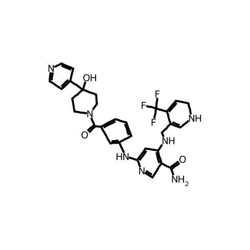 NC(=O)c1cnc(Nc2cccc(C(=O)N3CCC(O)(c4ccncc4)CC3)c2)cc1NCC1=CNCC=C1C(F)(F)F